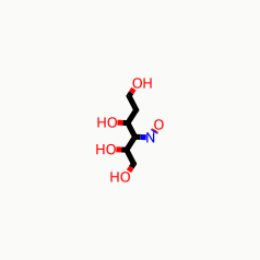 O=NC(C(O)CO)C(O)CCO